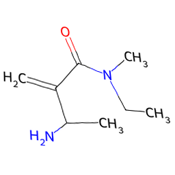 C=C(C(=O)N(C)CC)C(C)N